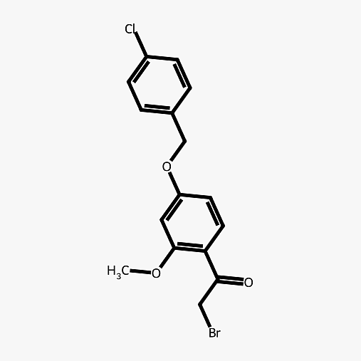 COc1cc(OCc2ccc(Cl)cc2)ccc1C(=O)CBr